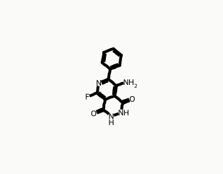 Nc1c(-c2ccccc2)nc(F)c2c(=O)[nH][nH]c(=O)c12